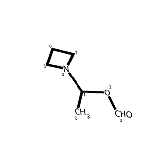 CC(OC=O)N1CCC1